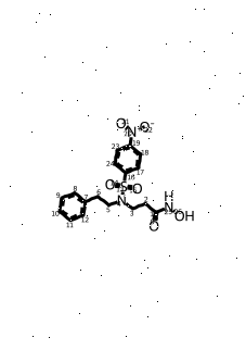 O=C(CCN(CCc1ccccc1)S(=O)(=O)c1ccc([N+](=O)[O-])cc1)NO